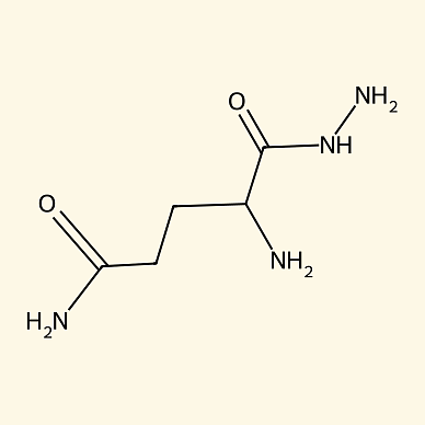 NNC(=O)C(N)CCC(N)=O